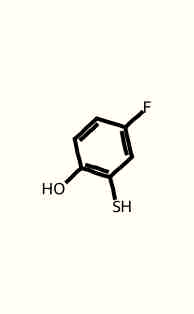 Oc1ccc(F)cc1S